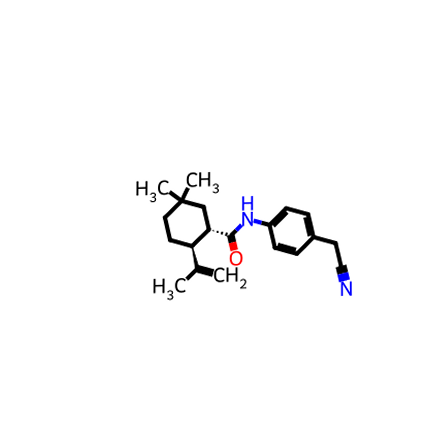 C=C(C)[C@H]1CCC(C)(C)C[C@@H]1C(=O)Nc1ccc(CC#N)cc1